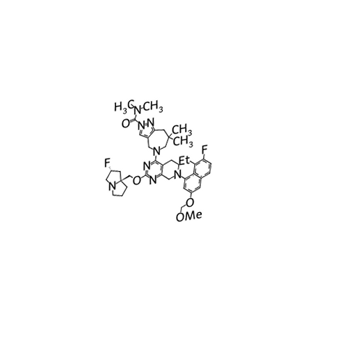 CCc1c(F)ccc2cc(OCOC)cc(N3CCc4c(nc(OC[C@@]56CCCN5C[C@H](F)C6)nc4N4Cc5cn(C(=O)N(C)C)nc5CC(C)(C)C4)C3)c12